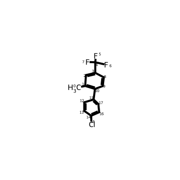 Cc1cc(C(F)(F)F)ccc1-c1ccc(Cl)cc1